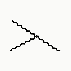 CCCCCCCCCCC[N+](CCCCCCCCCCC)CCCCCCCCCCC